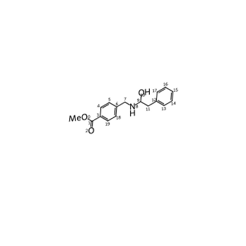 COC(=O)c1ccc(CNC(O)Cc2ccccc2)cc1